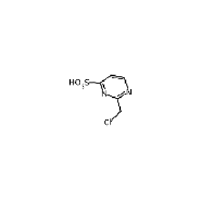 O=S(=O)(O)c1ccnc(CCl)n1